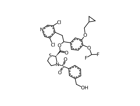 O=C(OC(Cc1c(Cl)cncc1Cl)c1ccc(OC(F)F)c(OCC2CC2)c1)[C@@H]1SCCN1S(=O)(=O)c1cccc(CO)c1